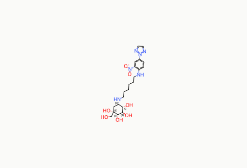 O=[N+]([O-])c1cc(-n2nccn2)ccc1NCCCCCCN[C@H]1C[C@](O)(CO)[C@@H](O)[C@H](O)[C@H]1O